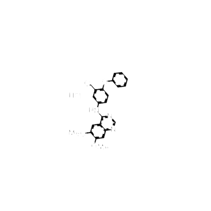 COc1cc2ncnc(Nc3ccc(Oc4ccccc4)c(Cl)c3)c2cc1OC.Cl